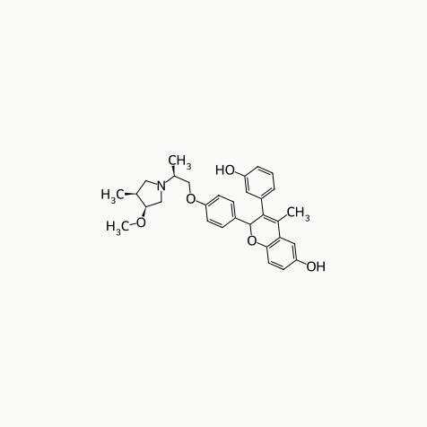 CO[C@@H]1CN([C@@H](C)COc2ccc(C3Oc4ccc(O)cc4C(C)=C3c3cccc(O)c3)cc2)C[C@@H]1C